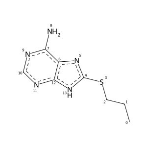 CCCSc1nc2c(N)ncnc2[nH]1